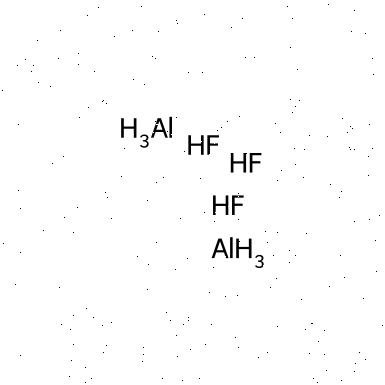 F.F.F.[AlH3].[AlH3]